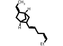 C/C=C1/C[C@@H]2C[C@H]1CC2/C=C/C/C=C\CC